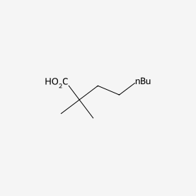 CCCCCCC(C)(C)C(=O)O